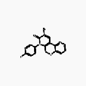 O=c1c(Br)cc2c(n1-c1ccc(F)cc1)COc1cccnc1-2